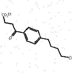 CCOC(=O)CCC(=O)c1ccc(CCCCCl)cc1